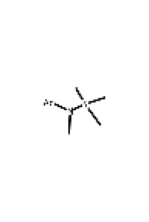 CC(=O)N(C)S(C)(C)C